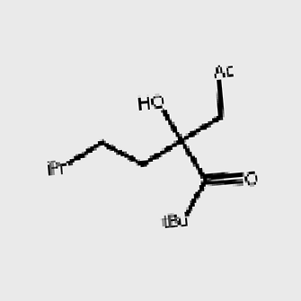 CC(=O)CC(O)(CCC(C)C)C(=O)C(C)(C)C